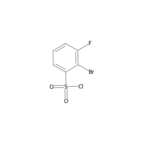 O=S(=O)(Cl)c1cccc(F)c1Br